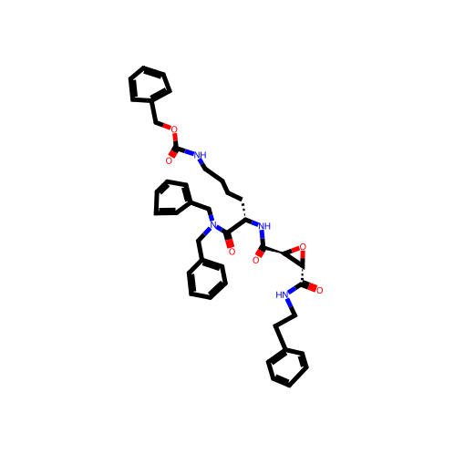 O=C(NCCCC[C@H](NC(=O)[C@H]1O[C@@H]1C(=O)NCCc1ccccc1)C(=O)N(Cc1ccccc1)Cc1ccccc1)OCc1ccccc1